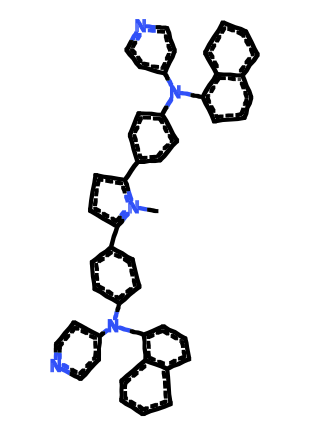 Cn1c(-c2ccc(N(c3ccncc3)c3cccc4ccccc34)cc2)ccc1-c1ccc(N(c2ccncc2)c2cccc3ccccc23)cc1